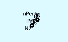 CCCCCC(=O)Oc1ccccc1CN(C(=O)c1ccc(C#N)cc1)C(C)C